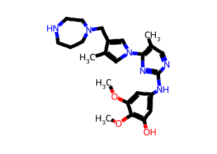 COc1cc(Nc2ncc(C)c(-n3cc(C)c(CN4CCCNCC4)c3)n2)cc(O)c1OC